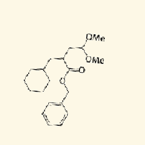 COC(CC(CC1CCCCC1)C(=O)OCc1ccccc1)OC